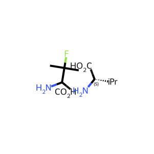 CC(C)(F)C(N)C(=O)O.CC(C)[C@H](N)C(=O)O